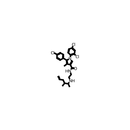 C=CCC(C)C(C)NCCNC(=O)c1cn(-c2ccc(Cl)cc2Cl)c(-c2ccc(Cl)cc2)c1C